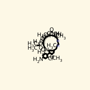 COc1cc2cc(c1-c1ccc(N)cc1Cl)N(C)C(=O)C[C@H](OC(=O)C(C)C)[C@]1(C)O[C@H]1[C@H](C)[C@@H]1C[C@@](O)(NC(=O)O1)[C@H](C)/C=C/C=C(\C)C2